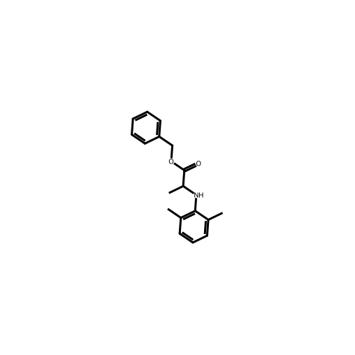 Cc1cccc(C)c1NC(C)C(=O)OCc1ccccc1